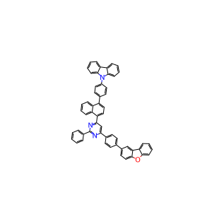 c1ccc(-c2nc(-c3ccc(-c4ccc5oc6ccccc6c5c4)cc3)cc(-c3ccc(-c4ccc(-n5c6ccccc6c6ccccc65)cc4)c4ccccc34)n2)cc1